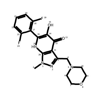 Cn1nc(CN2CCOCC2)c2c(=O)c(O)c(-c3c(F)cccc3F)[nH]c21